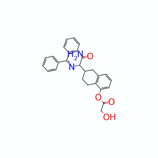 NC(=O)C(N=C(c1ccccc1)c1ccccc1)C1CCc2c(cccc2OC(=O)CO)C1